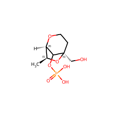 C[C@@H]1O[C@]2(CO)CCO[C@H]1C2OP(=O)(O)O